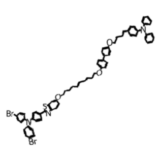 Brc1ccc(N(c2ccc(Br)cc2)c2ccc(-c3nc4ccc(OCCCCCCCCCCOc5ccc(-c6ccc(OCCCCc7ccc(N(c8ccccc8)c8ccccc8)cc7)cc6)cc5)cc4s3)cc2)cc1